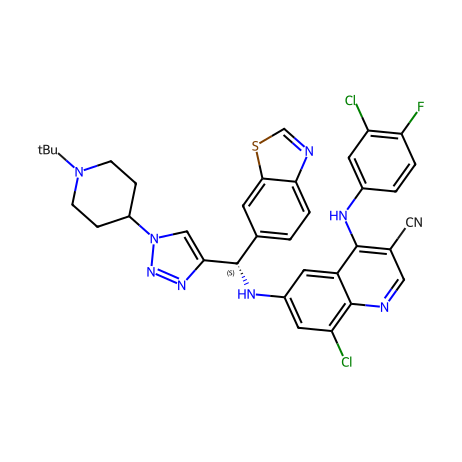 CC(C)(C)N1CCC(n2cc([C@@H](Nc3cc(Cl)c4ncc(C#N)c(Nc5ccc(F)c(Cl)c5)c4c3)c3ccc4ncsc4c3)nn2)CC1